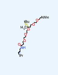 CNCCOCCOCCC(C)(OCCOCCOCCC(=O)NC/C=C/C(C)C)SSC(C)(C)C